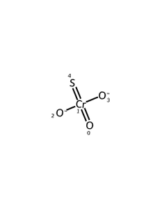 [O]=[Cr]([O-])([O-])=[S]